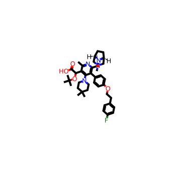 Cc1nc(CN2[C@@H]3CC[C@H]2CN(C)C3)c(-c2ccc(OCCc3ccc(F)cc3)cc2)c(N2CCC(C)(C)CC2)c1C(OC(C)(C)C)C(=O)O